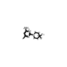 Cc1cc(N)nc(N2CCC(F)(F)CC2)n1